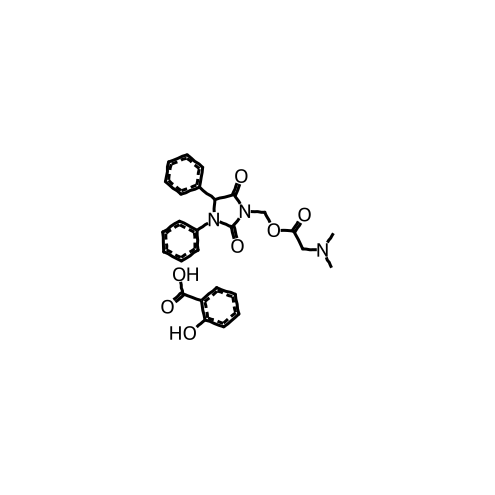 CN(C)CC(=O)OCN1C(=O)C(c2ccccc2)N(c2ccccc2)C1=O.O=C(O)c1ccccc1O